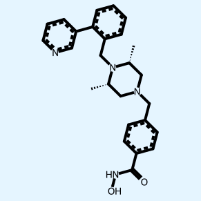 C[C@@H]1CN(Cc2ccc(C(=O)NO)cc2)C[C@H](C)N1Cc1ccccc1-c1cccnc1